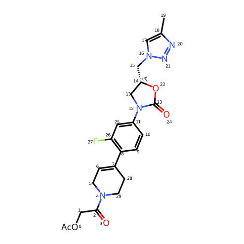 CC(=O)OCC(=O)N1CC=C(c2ccc(N3C[C@H](Cn4cc(C)nn4)OC3=O)cc2F)CC1